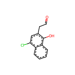 O=CCc1cc(Cl)c2ccccc2c1O